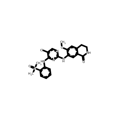 COc1cc2c(cc1Nc1ncc(Cl)c(Nc3ccccc3P(C)(C)=O)n1)C(=O)NCC2